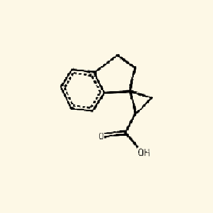 O=C(O)C1CC12CCc1ccccc12